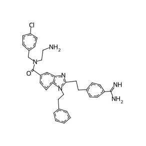 N=C(N)c1ccc(CCc2nc3cc(C(=O)N(CCN)Cc4ccc(Cl)cc4)ccc3n2CCc2ccccc2)cc1